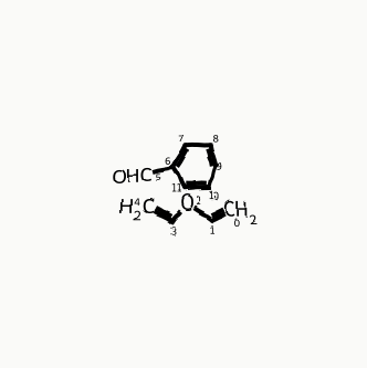 C=COC=C.O=Cc1ccccc1